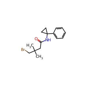 CC(C)(CBr)CC(=O)NC1(c2ccccc2)CC1